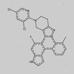 Cc1cccc2c3c4cc[nH]c4cc(F)c3c3c4c(nn3c12)CCN(c1ncc(Cl)cc1Cl)C4